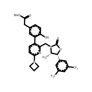 COC(=O)Cc1ccc(O)c(-c2ccc(N3CCC3)nc2CN2C(=O)O[C@H](c3cc(C(F)(F)F)cc(C(F)(F)F)c3)[C@@H]2C)c1